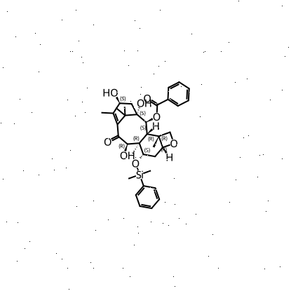 CC1=C2C(=O)[C@H](O)[C@]3(C)[C@@H](O[Si](C)(C)c4ccccc4)C[C@H]4OC[C@@]4(C)[C@H]3[C@H](OC(=O)c3ccccc3)[C@](O)(C[C@@H]1O)C2(C)C